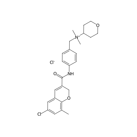 Cc1cc(Cl)cc2c1OCC(C(=O)Nc1ccc(C[N+](C)(C)C3CCOCC3)cc1)=C2.[Cl-]